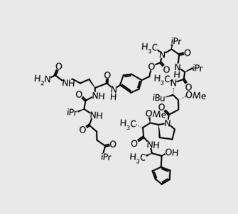 CC[C@H](C)[C@@H]([C@@H](CC(=O)N1CCC[C@H]1[C@H](OC)[C@@H](C)C(=O)N[C@H](C)[C@@H](O)c1ccccc1)OC)N(C)C(=O)[C@@H](NC(=O)[C@H](C(C)C)N(C)C(=O)OCc1ccc(NC(=O)[C@H](CCCNC(N)=O)NC(=O)[C@@H](NC(=O)CCC(=O)C(C)C)C(C)C)cc1)C(C)C